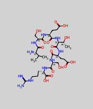 CC(C)[C@H](N)C(=O)N[C@@H](CO)C(=O)N[C@@H](CCC(=O)O)C(=O)N[C@H](C(=O)N[C@@H](CCC(=O)O)C(=O)N[C@@H](CO)C(=O)N[C@@H](CCCNC(=N)N)C(=O)O)[C@@H](C)O